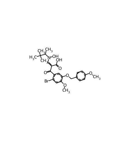 COc1ccc(COc2cc(C(=O)C(=CN(O)C(C)C(C)(C)C)C(=O)O)c(Br)cc2OC)cc1